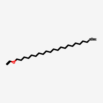 C=COCCCCCCCCCCCCCCCCCCCCCCCCCCCCCC